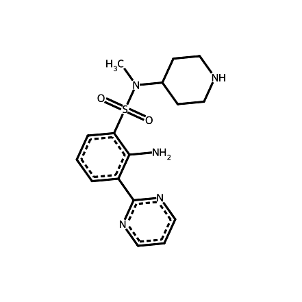 CN(C1CCNCC1)S(=O)(=O)c1cccc(-c2ncccn2)c1N